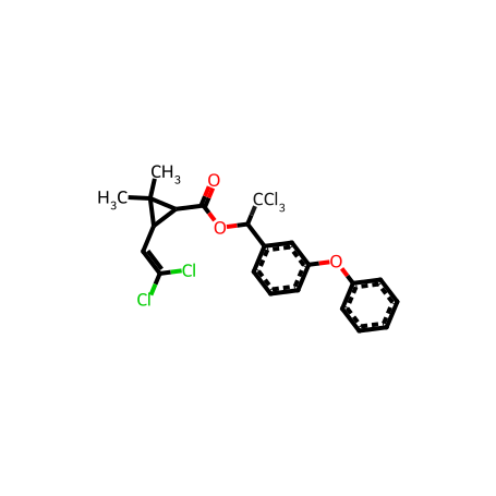 CC1(C)C(C=C(Cl)Cl)C1C(=O)OC(c1cccc(Oc2ccccc2)c1)C(Cl)(Cl)Cl